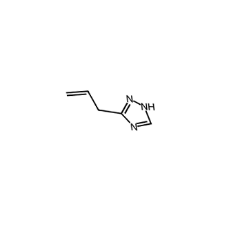 C=CCc1nc[nH]n1